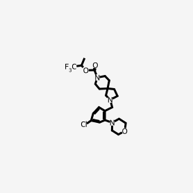 CC(OC(=O)N1CCC2(CCN(Cc3ccc(Cl)cc3N3CCOCC3)C2)CC1)C(F)(F)F